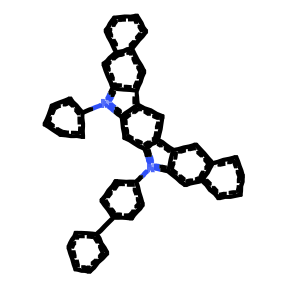 c1ccc(-c2ccc(-n3c4cc5ccccc5cc4c4cc5c6cc7ccccc7cc6n(-c6ccccc6)c5cc43)cc2)cc1